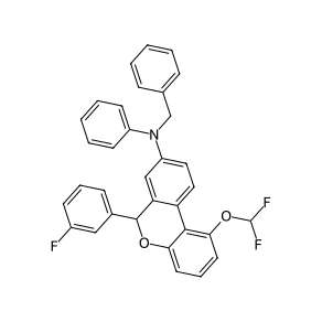 Fc1cccc(C2Oc3cccc(OC(F)F)c3-c3ccc(N(Cc4ccccc4)c4ccccc4)cc32)c1